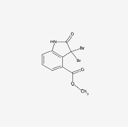 COC(=O)c1cccc2c1C(Br)(Br)C(=O)N2